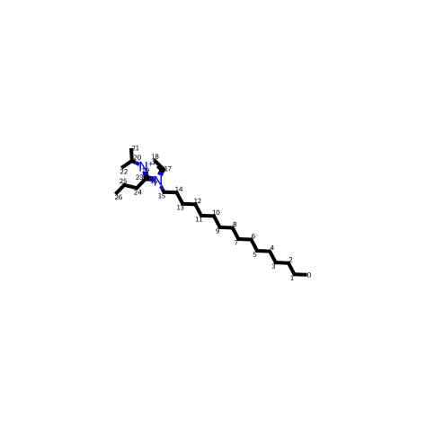 CCCCCCCCCCCCCCCCn1cc[n+](C(C)C)c1CCC